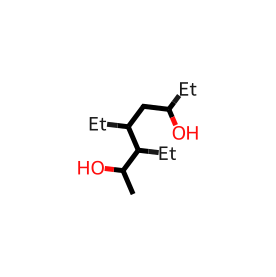 CCC(O)CC(CC)C(CC)C(C)O